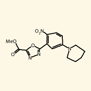 COC(=O)c1nnc(-c2cc(N3CCCCC3)ccc2[N+](=O)[O-])o1